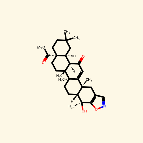 COC(=O)[C@]12CCC(C)(C)C[C@H]1[C@H]1C(=O)C=C3[C@@]4(C)Cc5cnoc5[C@@](C)(O)[C@@H]4CC[C@@]3(C)[C@]1(C)CC2